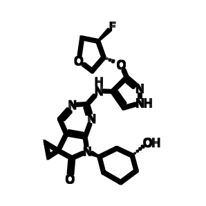 O=C1N([C@@H]2CCC[C@@H](O)C2)c2nc(Nc3c[nH]nc3O[C@@H]3COC[C@H]3F)ncc2C12CC2